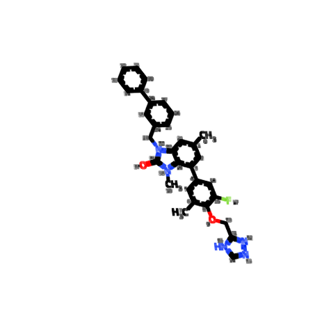 Cc1cc(-c2cc(C)c(OCc3nnc[nH]3)c(F)c2)c2c(c1)n(Cc1cccc(-c3ccccc3)c1)c(=O)n2C